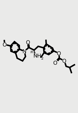 COc1ccc2c(c1)CCCN2C(=O)[C@H](N)Cc1c(C)cc(OC(=O)OCC(C)C)cc1C